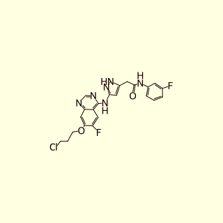 O=C(Cc1cc(Nc2ncnc3cc(OCCCCl)c(F)cc23)n[nH]1)Nc1cccc(F)c1